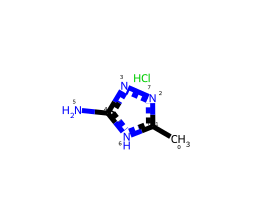 Cc1nnc(N)[nH]1.Cl